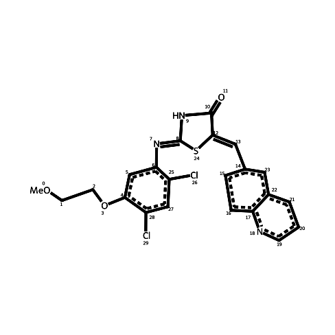 COCCOc1cc(/N=C2/NC(=O)/C(=C/c3ccc4ncccc4c3)S2)c(Cl)cc1Cl